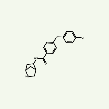 O=C(NC1CC2CC1CN2)c1ccc(Oc2ccc(Cl)cc2)cc1